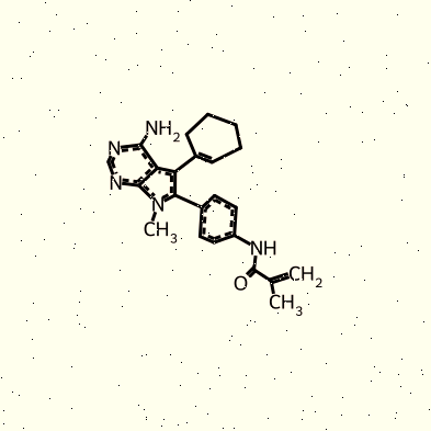 C=C(C)C(=O)Nc1ccc(-c2c(C3=CCCCC3)c3c(N)ncnc3n2C)cc1